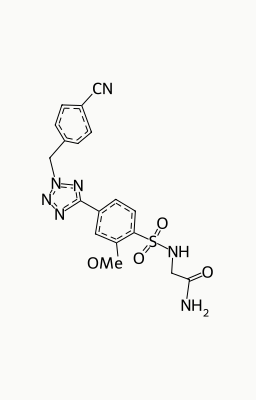 COc1cc(-c2nnn(Cc3ccc(C#N)cc3)n2)ccc1S(=O)(=O)NCC(N)=O